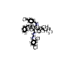 CC(C)(C)OC(=O)N(C(=O)/C=C/C=C/c1ccc(Cl)cc1Cl)[C@@H](/C=C\c1ccc(Cl)cc1)COCc1ccccc1